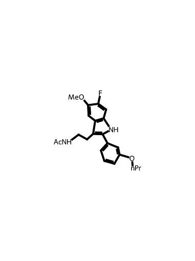 CCCOc1cccc(-c2[nH]c3cc(F)c(OC)cc3c2CCNC(C)=O)c1